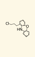 ClCCCc1cccc2c1Nc1ccccc1O2